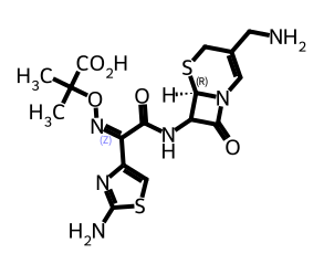 CC(C)(O/N=C(\C(=O)NC1C(=O)N2C=C(CN)CS[C@H]12)c1csc(N)n1)C(=O)O